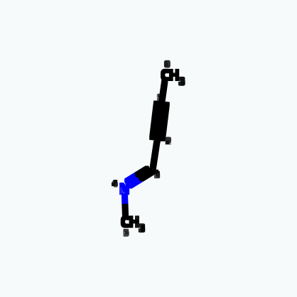 CC#C/[C]=N/C